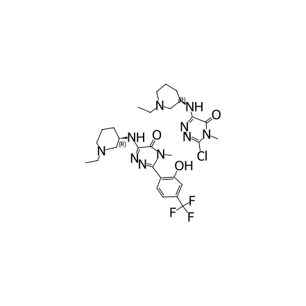 CCN1CCC[C@@H](Nc2nnc(-c3ccc(C(F)(F)F)cc3O)n(C)c2=O)C1.CCN1CCC[C@@H](Nc2nnc(Cl)n(C)c2=O)C1